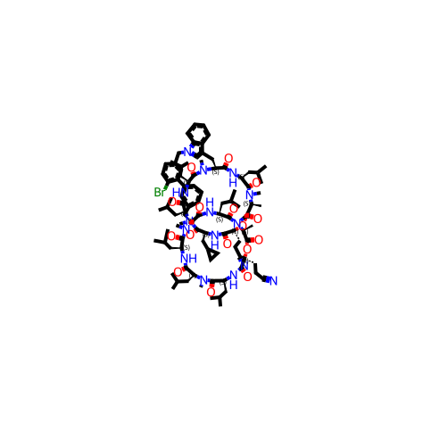 CC(C)C[C@@H]1NC(=O)[C@H](Cc2cccc(-c3cc(Cn4cc(C[C@H]5C(=O)N[C@@H](CC(C)C)C(=O)N(C)[C@@H](C)C(=O)O[C@H](CCC#N)C(=O)N[C@@H](CC6CC6)C(=O)N(C)[C@@H](CC(C)C)C(=O)N[C@@H](CC(C)C)C(=O)N5C)c5ccccc54)ccc3Br)c2)N(C)C(=O)[C@H](CC(C)C)NC(=O)[C@H](CC(C)C)N(C)C(=O)[C@H](CC(C)C)NC(=O)[C@@H](CCC#N)OC(=O)[C@H](C)N(C)C1=O